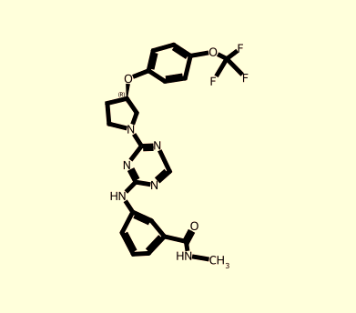 CNC(=O)c1cccc(Nc2ncnc(N3CC[C@@H](Oc4ccc(OC(F)(F)F)cc4)C3)n2)c1